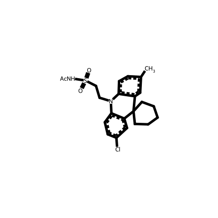 CC(=O)NS(=O)(=O)CCN1c2ccc(C)cc2C2(CCCCC2)c2cc(Cl)ccc21